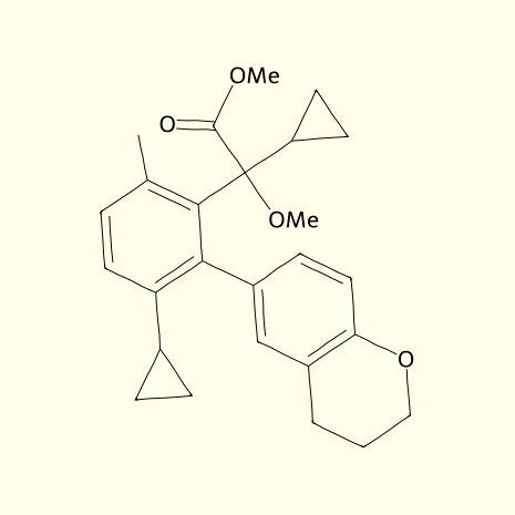 COC(=O)C(OC)(c1c(C)ccc(C2CC2)c1-c1ccc2c(c1)CCCO2)C1CC1